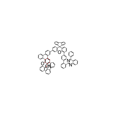 N#Cc1ccc(-c2cc(-c3ccc4c(c3)Oc3c(-c5ccc(-c6ccccc6-c6nc(-c7ccccc7)c7ccccc7n6)cc5)cccc3C43c4ccccc4-c4ccccc43)ccc2-c2ccccc2-c2cccc3c2Oc2ccccc2C32c3ccccc3-c3ccccc32)cc1